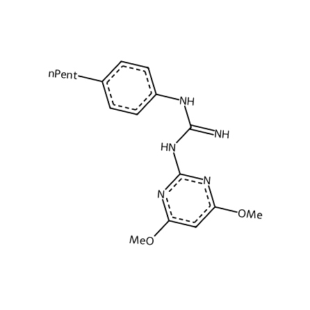 CCCCCc1ccc(NC(=N)Nc2nc(OC)cc(OC)n2)cc1